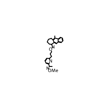 CO/N=C(\C)c1cccc(CCCO/N=C2\CCCCc3c2cc2ccccc2c3C)n1